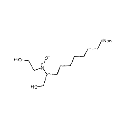 CCCCCCCCCCCCCCCCC(CO)[NH+]([O-])CCO